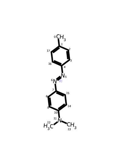 Cc1ccc(/N=N/c2ccc(N(C)C)cc2)cc1